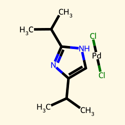 CC(C)c1c[nH]c(C(C)C)n1.[Cl][Pd][Cl]